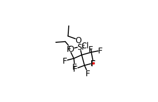 CCO[Si](Cl)(OCC)C(C(F)(F)F)(C(F)(F)F)C(F)(F)F